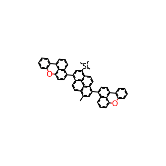 Cc1cc(-c2ccc3c4c(cccc24)Oc2ccccc2-3)c2ccc3c([Si](C)(C)C)cc(-c4ccc5c6c(cccc46)-c4ccccc4O5)c4ccc1c2c43